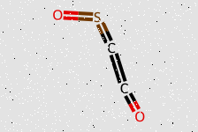 O=C=C=S=O